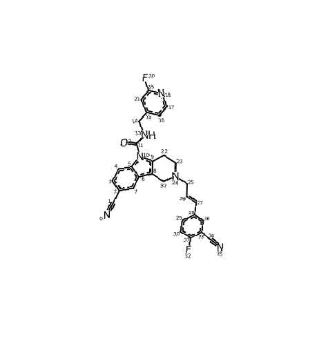 N#Cc1ccc2c(c1)c1c(n2C(=O)NCc2ccnc(F)c2)CCN(C/C=C/c2ccc(F)c(C#N)c2)C1